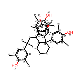 Cc1cc(C(CC(C)(C)c2cc(C)c(O)c(C)c2)C2CCCCC2(c2cc(C)c(O)c(C)c2)c2cc(C)c(O)c(C)c2)cc(C)c1O